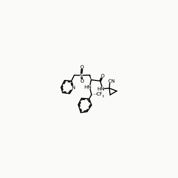 N#CC1(NC(=O)[C@H](CS(=O)(=O)Cc2ccccn2)N[C@@H](c2ccccc2)C(F)(F)F)CC1